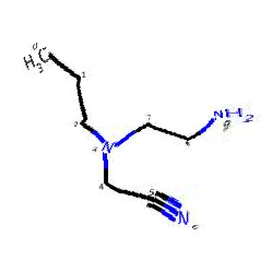 CCCN(CC#N)CCN